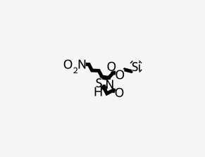 C[Si](C)(C)CCOC(=O)C1=C(CCC[N+](=O)[O-])S[C@H]2CC(=O)N12